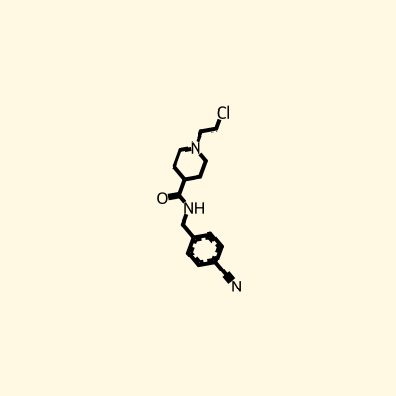 N#Cc1ccc(CNC(=O)C2CCN(CCCl)CC2)cc1